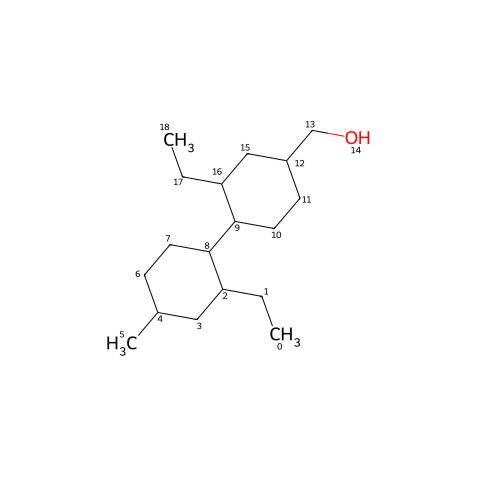 CCC1CC(C)CCC1C1CCC(CO)CC1CC